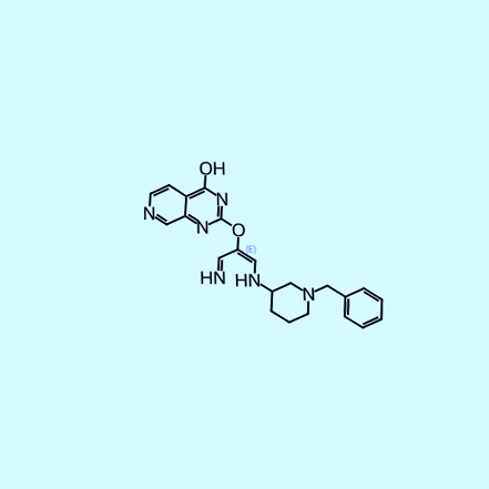 N=C/C(=C\NC1CCCN(Cc2ccccc2)C1)Oc1nc(O)c2ccncc2n1